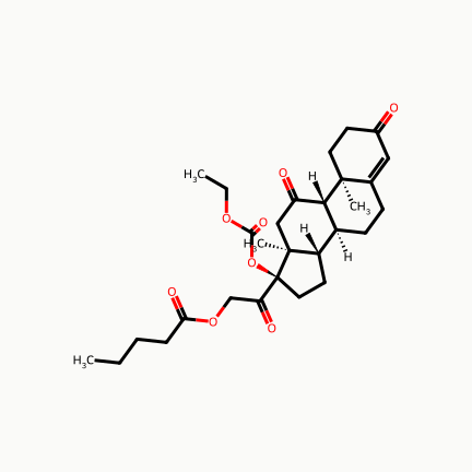 CCCCC(=O)OCC(=O)[C@@]1(OC(=O)OCC)CC[C@H]2[C@@H]3CCC4=CC(=O)CC[C@]4(C)[C@H]3C(=O)C[C@@]21C